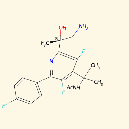 CC(=O)NC(C)(C)c1c(F)c(-c2ccc(F)cc2)nc([C@](O)(CN)C(F)(F)F)c1F